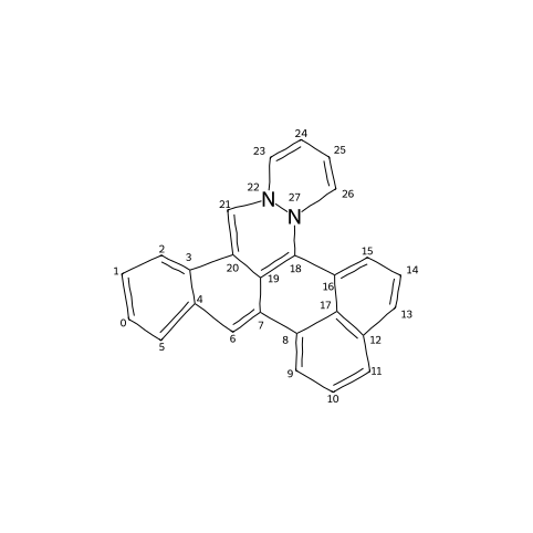 c1ccc2c(c1)cc1c3cccc4cccc(c43)c3c1c2cn1ccccn31